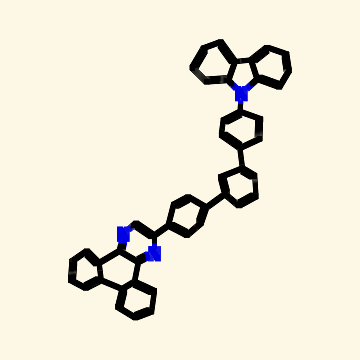 c1cc(-c2ccc(-c3cnc4c5ccccc5c5ccccc5c4n3)cc2)cc(-c2ccc(-n3c4ccccc4c4ccccc43)cc2)c1